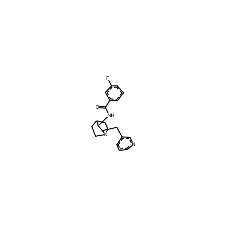 O=C(NC1C2CCN(CC2)C1Cc1cccnc1)c1cccc(F)c1